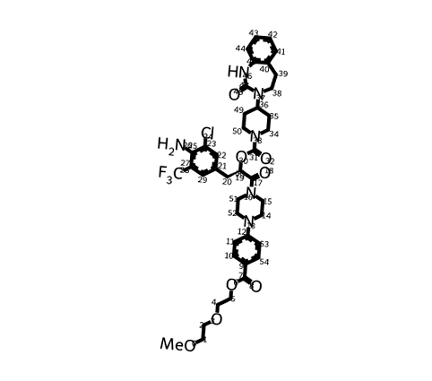 COCCOCCOC(=O)c1ccc(N2CCN(C(=O)[C@@H](Cc3cc(Cl)c(N)c(C(F)(F)F)c3)OC(=O)N3CCC(N4CCc5ccccc5NC4=O)CC3)CC2)cc1